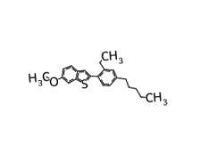 CCCCCc1ccc(-c2cc3ccc(OC)cc3s2)c(CC)c1